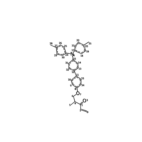 C=CC(=O)C(C)COc1ccc(-c2ccc(N(c3ccc(C)cc3)c3ccc(C)cc3)cc2)cc1